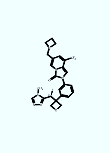 Cn1cnnc1[C@@H](F)C1(c2cccc(-n3cc4c(C(F)(F)F)cc(CN5CCC5)cn4c3=O)c2)COC1